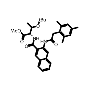 COC(=O)[C@@H](NC(=O)c1cc2ccccc2cc1NC(=O)Cc1c(C)cc(C)cc1C)C(C)OC(C)(C)C